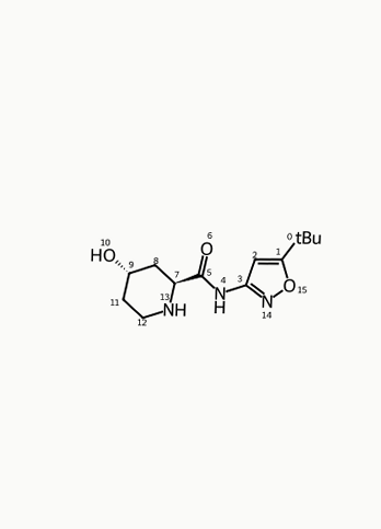 CC(C)(C)c1cc(NC(=O)[C@@H]2C[C@@H](O)CCN2)no1